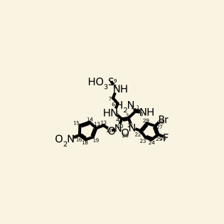 N=C(N)C1=C(NCCNS(=O)(=O)O)N(OCc2ccc([N+](=O)[O-])cc2)ON1c1ccc(F)c(Br)c1